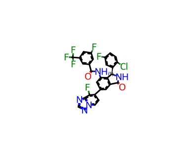 O=C(Nc1cc(-c2ccn3ncnc3c2F)cc2c1[C@@H](c1cc(F)ccc1Cl)NC2=O)c1cc(F)cc(C(F)(F)F)c1